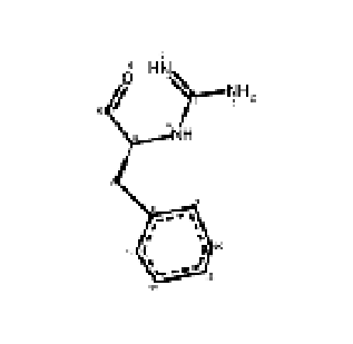 N=C(N)N[C@H](C=O)Cc1ccccc1